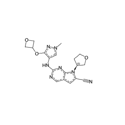 Cn1cc(Nc2ncc3cc(C#N)n([C@H]4CCOC4)c3n2)c(OC2COC2)n1